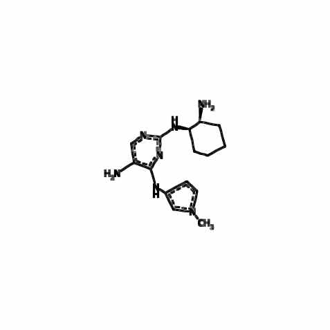 Cn1ccc(Nc2nc(N[C@@H]3CCCC[C@@H]3N)ncc2N)c1